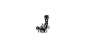 O=C(N[C@@H](CNC(=O)c1ccc(N2CCN(c3ncccn3)CC2)cc1)C(=O)O)OCc1ccccc1